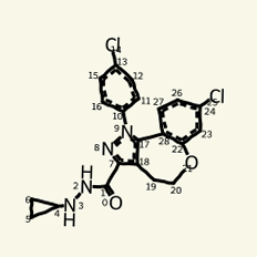 O=C(NNC1CC1)c1nn(-c2ccc(Cl)cc2)c2c1CCOc1cc(Cl)ccc1-2